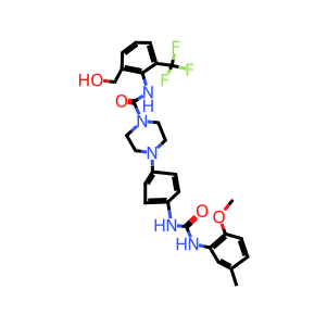 COc1ccc(C)cc1NC(=O)Nc1ccc(N2CCN(C(=O)Nc3c(CO)cccc3C(F)(F)F)CC2)cc1